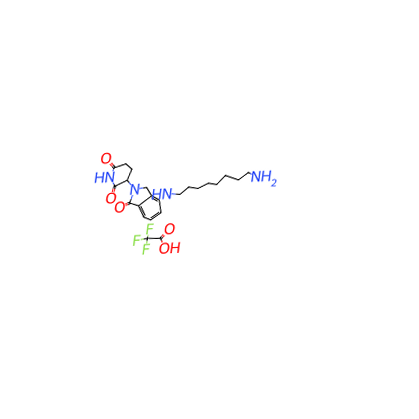 NCCCCCCCCNc1cccc2c1CN(C1CCC(=O)NC1=O)C2=O.O=C(O)C(F)(F)F